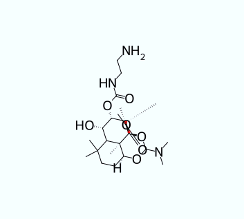 C[C@@H]1CC(=O)[C@@]23OC(N(C)C)O[C@H]4CCC(C)(C)C([C@H](O)[C@H](OC(=O)NCCN)[C@@]2(C)O1)[C@]43C